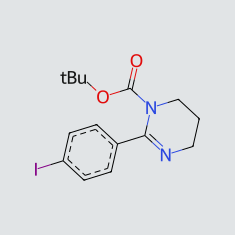 CC(C)(C)OC(=O)N1CCCN=C1c1ccc(I)cc1